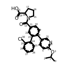 CC(C)Oc1ccc(-c2ccc(C(=O)N3CCCC3C(=O)O)cc2-c2ccccc2Cl)cn1